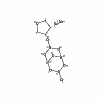 C1CCOC1.[Na+].[Na+].[O-]B1OB2OB([O-])OB(O1)O2